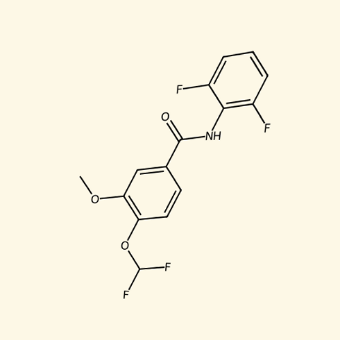 COc1cc(C(=O)Nc2c(F)cccc2F)ccc1OC(F)F